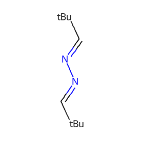 CC(C)(C)/C=N/N=C/C(C)(C)C